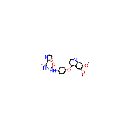 COc1cc2nccc(Oc3ccc(NC(=O)N[C@H](C)c4nccs4)cc3)c2cc1OC